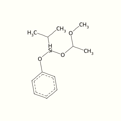 COC(C)O[SiH](Oc1ccccc1)C(C)C